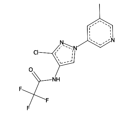 Cc1cncc(-n2cc(NC(=O)C(F)(F)F)c(Cl)n2)c1